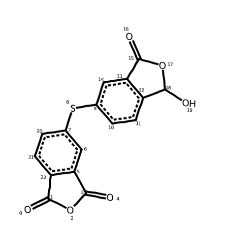 O=C1OC(=O)c2cc(Sc3ccc4c(c3)C(=O)OC4O)ccc21